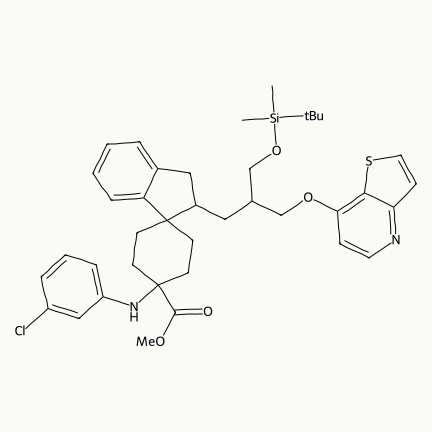 COC(=O)C1(Nc2cccc(Cl)c2)CCC2(CC1)c1ccccc1CC2CC(COc1ccnc2ccsc12)CO[Si](C)(C)C(C)(C)C